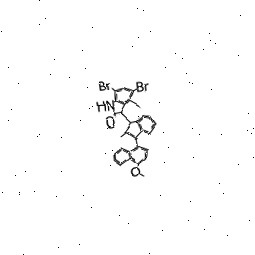 COc1ccc(C2=C(C)C(C3C(=O)Nc4c(Br)cc(Br)c(C)c43)c3ccccc32)c2ccccc12